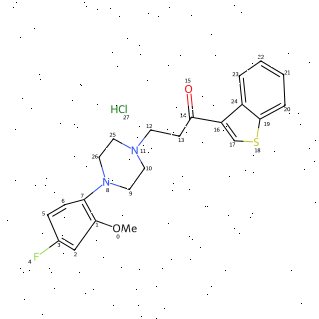 COc1cc(F)ccc1N1CCN(CCC(=O)c2csc3ccccc23)CC1.Cl